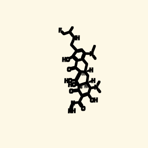 CC(CF)NCc1cc(N(C)C)c2c(c1O)C(=O)C1=C(O)[C@]3(O)C(=O)C(C(=O)N=N)=C(O)C(N(C)C)[C@@H]3C[C@@H]1C2